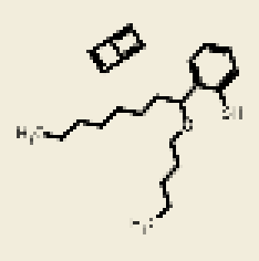 CCCCCCCC(OCCCCC)c1ccccc1S.c1cc2ccc1-2